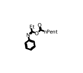 CCCCCC(=O)OC(CC)=Nc1ccccc1